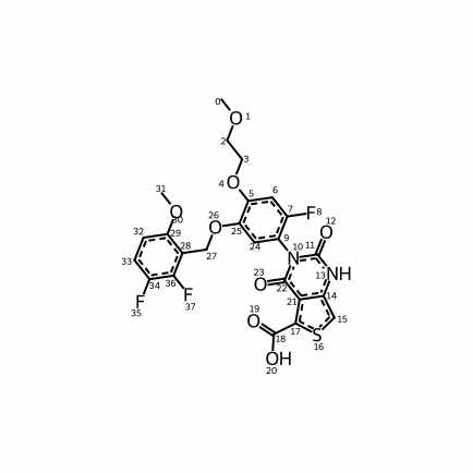 COCCOc1cc(F)c(-n2c(=O)[nH]c3csc(C(=O)O)c3c2=O)cc1OCc1c(OC)ccc(F)c1F